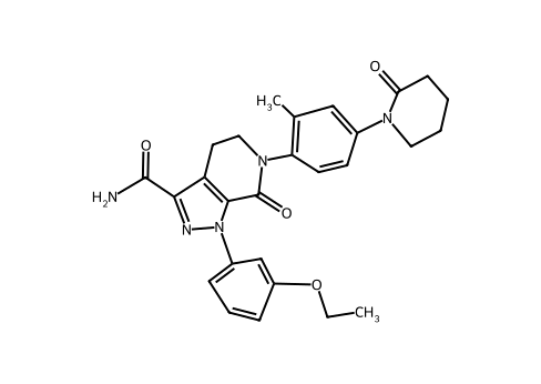 CCOc1cccc(-n2nc(C(N)=O)c3c2C(=O)N(c2ccc(N4CCCCC4=O)cc2C)CC3)c1